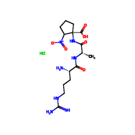 C[C@H](NC(=O)[C@@H](N)CCCNC(=N)N)C(=O)NC1(C(=O)O)CCCC1[N+](=O)[O-].Cl